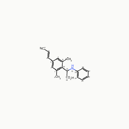 Cc1cc(C=CC#N)cc(C)c1C(Nc1ccccc1)C(=O)O